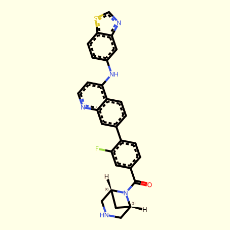 O=C(c1ccc(-c2ccc3c(Nc4ccc5scnc5c4)ccnc3c2)c(F)c1)N1[C@@H]2CNC[C@H]1C2